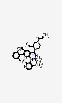 Bc1cc(/C(=N\C)N2CCN(C(=O)C=C)CC2C=C)c(N(C=C)c2c(C)ccnc2C)nc1-c1c(O)cccc1F